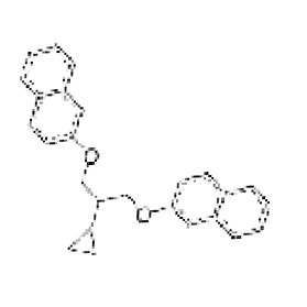 c1ccc2cc(OCC(COc3ccc4ccccc4c3)C3CC3)ccc2c1